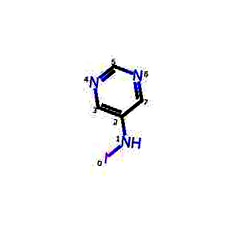 INc1cncnc1